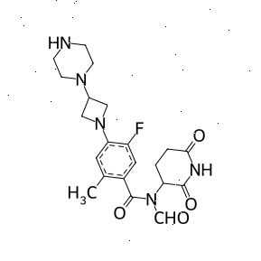 Cc1cc(N2CC(N3CCNCC3)C2)c(F)cc1C(=O)N(C=O)C1CCC(=O)NC1=O